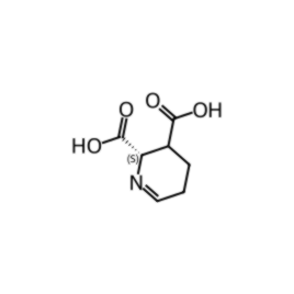 O=C(O)C1CCC=N[C@@H]1C(=O)O